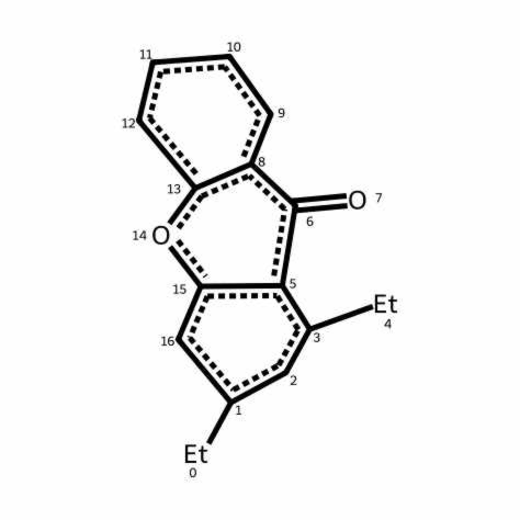 CCc1cc(CC)c2c(=O)c3ccccc3oc2c1